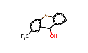 OC1c2ccccc2Sc2ccc(C(F)(F)F)cc21